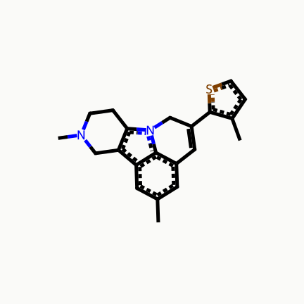 Cc1cc2c3c(c1)c1c(n3CC(c3sccc3C)=C2)CCN(C)C1